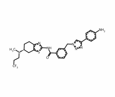 CN(CCC(F)(F)F)[C@H]1CCc2nc(NC(=O)c3cccc(Cn4cc(-c5ccc(N)cc5)nn4)c3)sc2C1